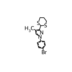 Cc1cn(-c2ccc(Br)cc2)nc1C1SCCCS1